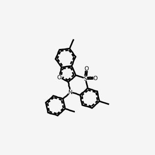 Cc1ccc2c(c1)S(=O)(=O)c1c(oc3ccc(C)cc13)N2c1ccccc1C